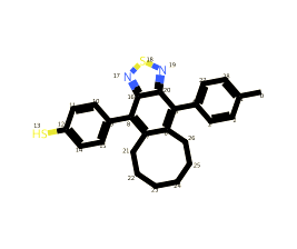 Cc1ccc(-c2c3c(c(-c4ccc(S)cc4)c4nsnc24)CCCCCC3)cc1